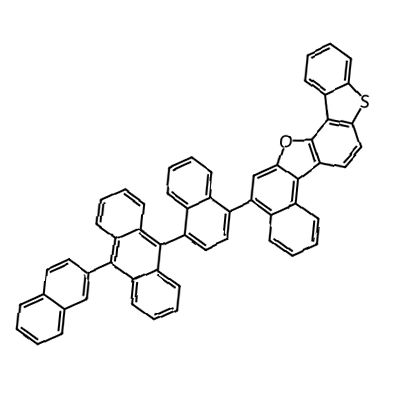 c1ccc2cc(-c3c4ccccc4c(-c4ccc(-c5cc6oc7c(ccc8sc9ccccc9c87)c6c6ccccc56)c5ccccc45)c4ccccc34)ccc2c1